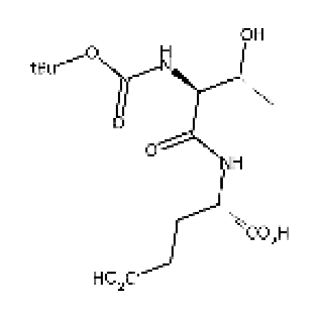 C[C@@H](O)[C@H](NC(=O)OC(C)(C)C)C(=O)N[C@@H](CCC(=O)O)C(=O)O